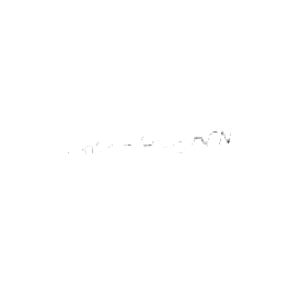 CCCCC[C@H]1CC[C@H](c2ccc(-c3ccc(C=C[C@H]4CC[C@H](c5ccc(C#N)cc5)CC4)cc3)cc2)CC1